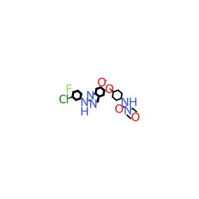 COc1cc2nc(Nc3ccc(F)c(Cl)c3)ncc2cc1OC1CCC(NC(=O)N2CCOCC2)CC1